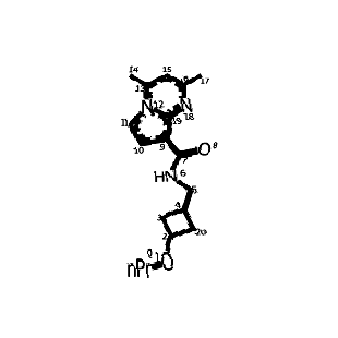 CCCOC1CC(CNC(=O)c2ccn3c(C)cc(C)nc23)C1